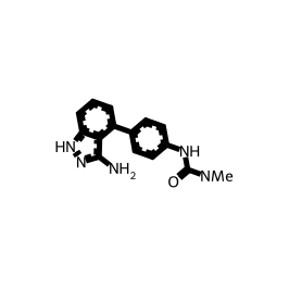 CNC(=O)Nc1ccc(-c2cccc3[nH]nc(N)c23)cc1